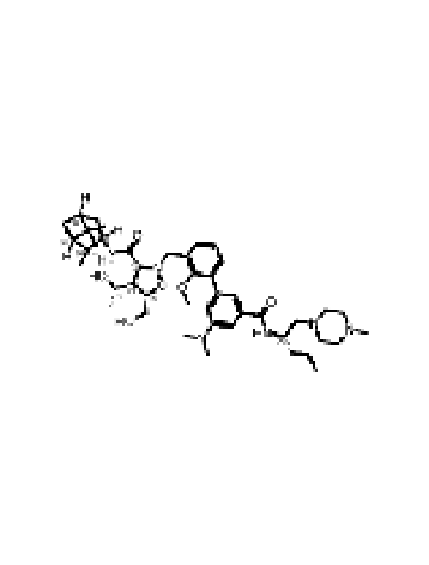 CCC[C@@H](CN1CCN(C)CC1)NC(=O)c1cc(-c2cccc(CN3O[C@@H](CO)[C@@H]([C@H](C)O)[C@H]3C(=O)N[C@H]3C[C@H]4C[C@@H]([C@@H]3C)C4(C)C)c2OC)cc(N(C)C)c1